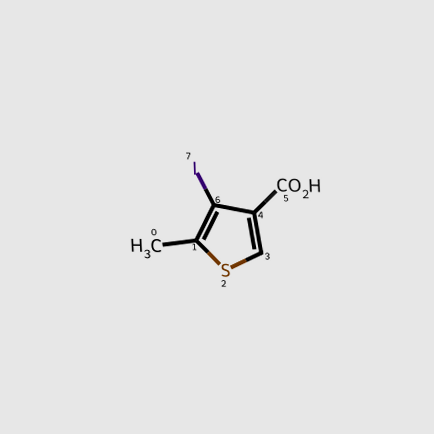 Cc1scc(C(=O)O)c1I